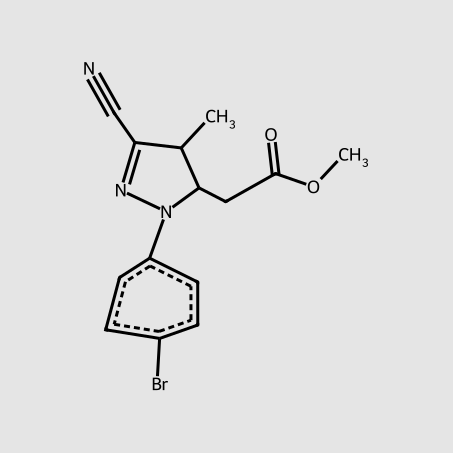 COC(=O)CC1C(C)C(C#N)=NN1c1ccc(Br)cc1